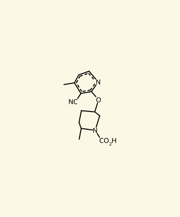 Cc1ccnc(OC2CCC(C)N(C(=O)O)C2)c1C#N